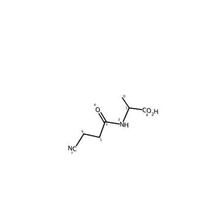 CC(NC(=O)CCC#N)C(=O)O